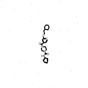 O=C(Nc1ccccc1)N1CCN(C(=O)c2ccnc(OCCC3CCCCC3)c2)CC1